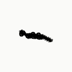 C=C(C)C(=O)OCCCCOc1ccc(C(=O)Oc2ccc(C(=O)Oc3ccc(CCCCCCCCC)cc3)cc2)cc1C